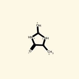 CC1NC(O)NC1=O